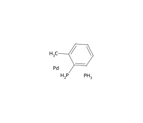 Cc1ccccc1P.P.[Pd]